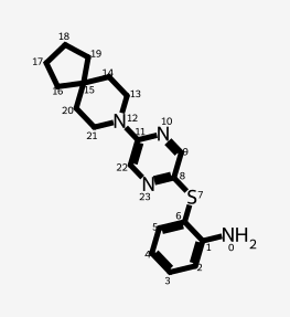 Nc1ccccc1Sc1cnc(N2CCC3(CCCC3)CC2)cn1